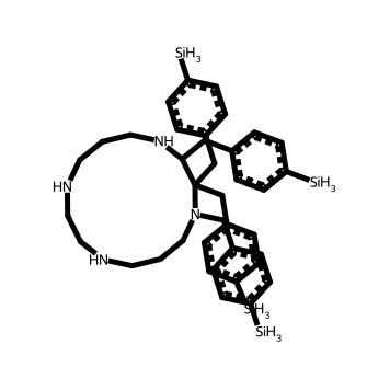 [SiH3]c1ccc(CC2NCCCNCCNCCCN(Cc3ccc([SiH3])cc3)C2(Cc2ccc([SiH3])cc2)Cc2ccc([SiH3])cc2)cc1